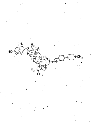 C=C(C)C1CC[C@]2(CC(=O)NCc3ccc(N4CCN(C)CC4)cc3)CC[C@]3(C)[C@H](CC[C@@H]4[C@@]5(C)CC[C@H](OC(=O)CC(C)(C)CC(=O)O)C(C)(C)[C@@H]5CC[C@]43C)[C@@H]12